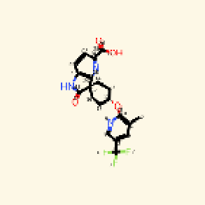 Cc1cc(C(F)(F)F)cnc1O[C@H]1CC[C@@]2(CC1)C(=O)Nc1ccc(C(=O)O)nc12